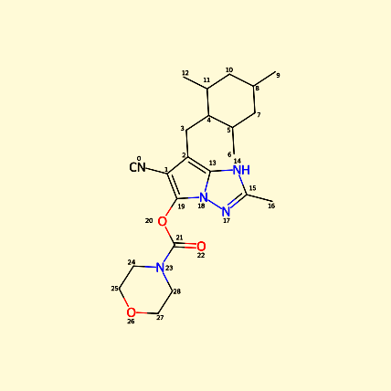 [C-]#[N+]c1c(CC2C(C)CC(C)CC2C)c2[nH]c(C)nn2c1OC(=O)N1CCOCC1